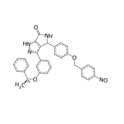 C[C@H](Oc1cccc(-c2n[nH]c3c2C(c2ccc(OCc4ccc(N=O)cc4)cc2)NC3=O)c1)c1ccccc1